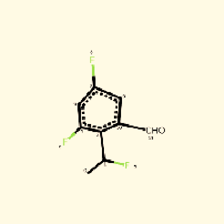 CC(F)c1c(F)cc(F)cc1C=O